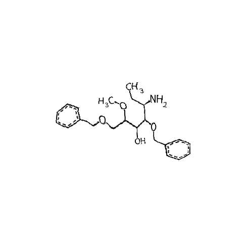 CC[C@@H](N)C(OCc1ccccc1)C(O)C(COCc1ccccc1)OC